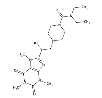 CCN(CC)C(=O)N1CCN(CC(O)c2nc3c(c(=O)n(C)c(=O)n3C)n2C)CC1